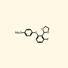 COc1ccc(Sc2cccc(F)c2C2OCCO2)cc1